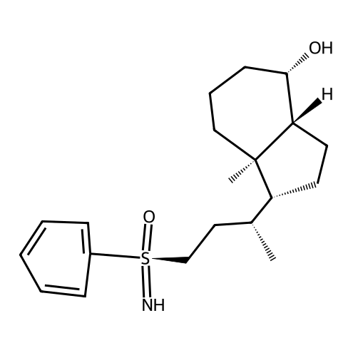 C[C@H](CC[S@](=N)(=O)c1ccccc1)[C@H]1CC[C@H]2[C@@H](O)CCC[C@]12C